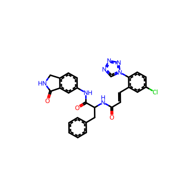 O=C(/C=C/c1cc(Cl)ccc1-n1cnnn1)NC(Cc1ccccc1)C(=O)Nc1ccc2c(c1)C(=O)NC2